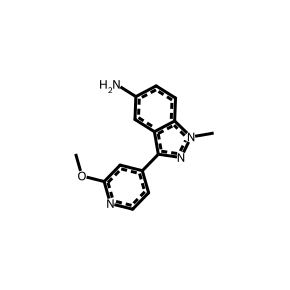 COc1cc(-c2nn(C)c3ccc(N)cc23)ccn1